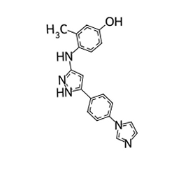 Cc1cc(O)ccc1Nc1cc(-c2ccc(-n3ccnc3)cc2)[nH]n1